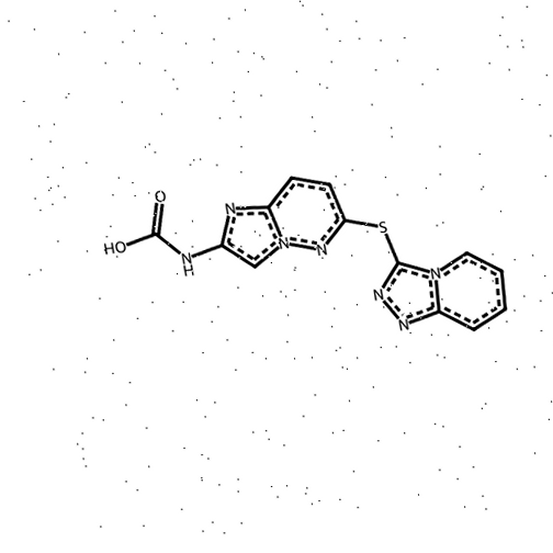 O=C(O)Nc1cn2nc(Sc3nnc4ccccn34)ccc2n1